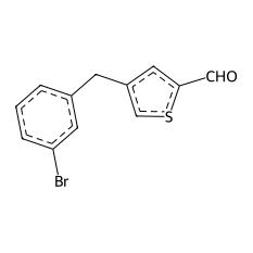 O=Cc1cc(Cc2cccc(Br)c2)cs1